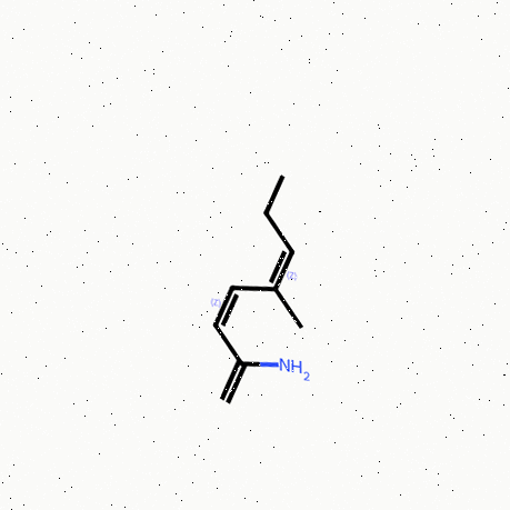 C=C(N)/C=C\C(C)=C/CC